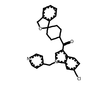 O=C(c1cn(Cc2ccncc2)c2cc(Cl)ccc12)C1CCC2(CC1)OCc1ccccc12